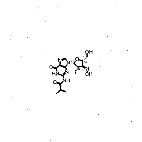 CC(C)C(=O)Nc1nc2c(ncn2[C@@H]2O[C@H](CO)/C(=N/O)[C@H]2F)c(=O)[nH]1